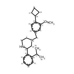 COc1cc(CN2CCNC(c3ccccc3C(C)C)C2)ccc1C1CCC1